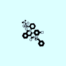 CN(C)S(=O)(=O)N[C@H]1CCCCC1N1C(=O)c2ccccc2[C@@H](C(=O)NOCc2ccccc2)[C@@H]1c1ccc(Cl)cc1